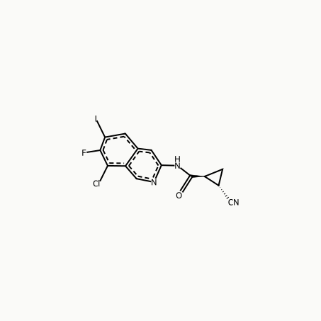 N#C[C@H]1C[C@@H]1C(=O)Nc1cc2cc(I)c(F)c(Cl)c2cn1